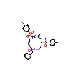 C=C1CN(S(=O)(=O)c2ccc(C)cc2)CCC[N+]([O-])(Cc2ccccc2)CCCN(S(=O)(=O)c2ccc(C)cc2)C1